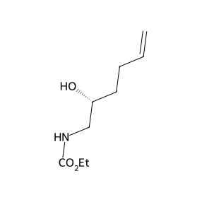 C=CCC[C@@H](O)CNC(=O)OCC